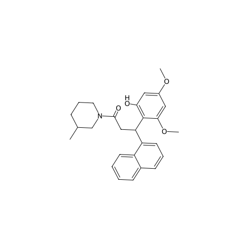 COc1cc(O)c(C(CC(=O)N2CCCC(C)C2)c2cccc3ccccc23)c(OC)c1